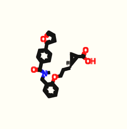 CN(Cc1ccccc1OCCC[C@@H]1CC1C(=O)O)C(=O)c1ccc(-c2ccco2)cc1